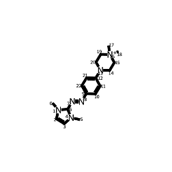 CN1C=CN(C)C1N=Nc1ccc(N2CC[N+](C)(C)CC2)cc1